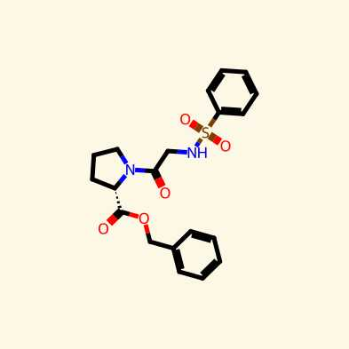 O=C(OCc1ccccc1)[C@@H]1CCCN1C(=O)CNS(=O)(=O)c1ccccc1